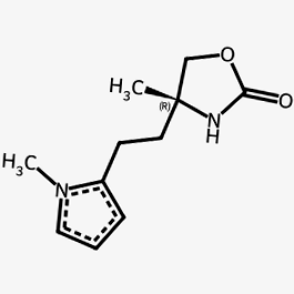 Cn1cccc1CC[C@]1(C)COC(=O)N1